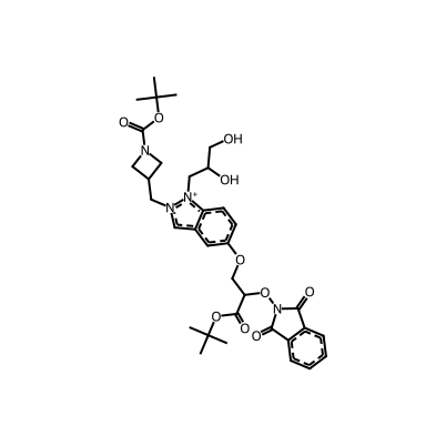 CC(C)(C)OC(=O)C(COc1ccc2c(c1)cn(CC1CN(C(=O)OC(C)(C)C)C1)[n+]2CC(O)CO)ON1C(=O)c2ccccc2C1=O